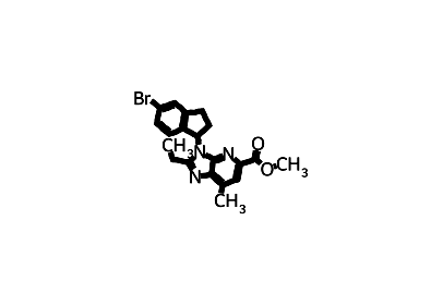 CCc1nc2c(C)cc(C(=O)OC)nc2n1C1CCc2cc(Br)ccc21